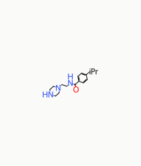 CC(C)c1ccc(C(=O)NCCN2CCNCC2)cc1